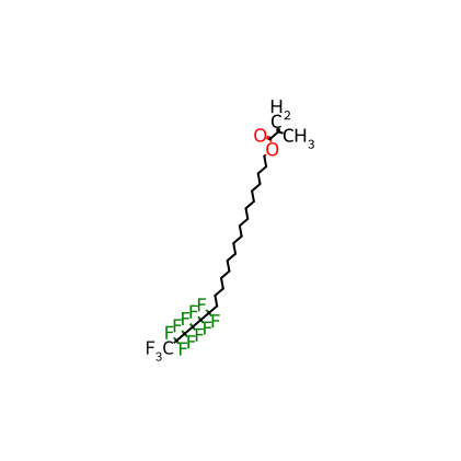 C=C(C)C(=O)OCCCCCCCCCCCCCCCCCCC(F)(F)C(F)(F)C(F)(F)C(F)(F)C(F)(F)C(F)(F)F